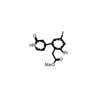 COC(=O)Cc1c(-c2cc[nH]c(=O)c2)cc(F)cc1C(C)C